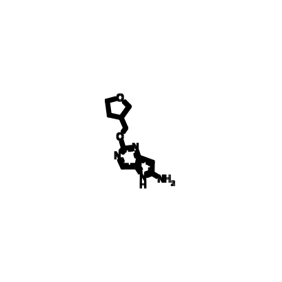 Nc1cc2nc(OCC3CCOC3)ncc2[nH]1